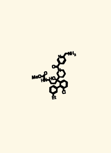 CCc1cccc(-c2c(Cl)cccc2[C@](O)(CCCNC(=O)OC)[C@@H]2CCCN(C(=O)c3ccc(CN)nc3)C2)c1